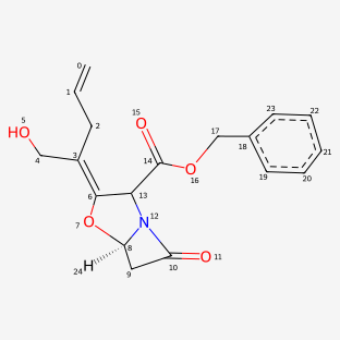 C=CC/C(CO)=C1/O[C@@H]2CC(=O)N2C1C(=O)OCc1ccccc1